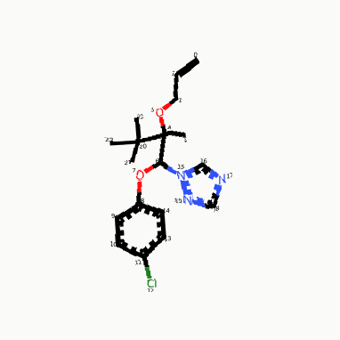 C=CCOC(C)(C(Oc1ccc(Cl)cc1)n1cncn1)C(C)(C)C